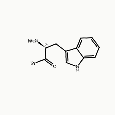 CN[C@@H](Cc1c[nH]c2ccccc12)C(=O)C(C)C